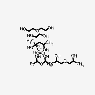 CC(O)CC(C)(C)O.CC(O)COCC(C)O.CCC(O)OC(O)CC.CCO.OCCO.OCCOCCO